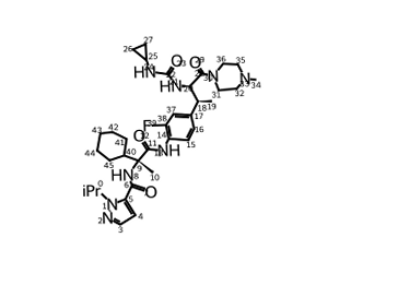 CC(C)n1nccc1C(=O)N[C@@](C)(C(=O)Nc1ccc([C@H](C)[C@@H](NC(=O)NC2CC2)C(=O)N2CCN(C)CC2)cc1F)C1CCCCC1